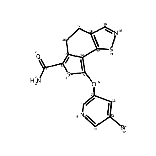 NC(=O)c1sc(Oc2cncc(Br)c2)c2c1CCc1cnsc1-2